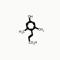 Cc1cc(O)cc(C)c1C=CC(=O)O